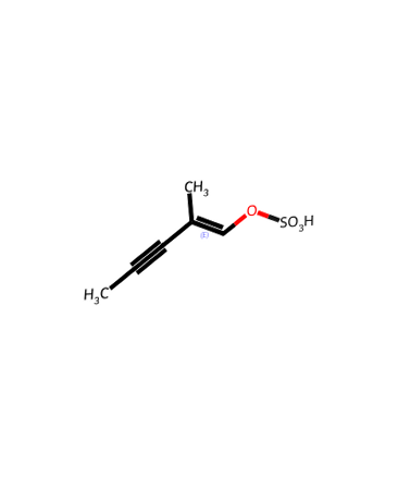 CC#C/C(C)=C/OS(=O)(=O)O